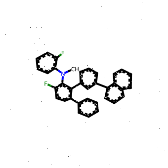 CN(c1ccccc1F)c1c(F)ccc(-c2ccccc2)c1-c1cccc(-c2cccc3ccccc23)c1